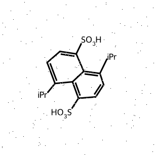 CC(C)c1ccc(S(=O)(=O)O)c2c(C(C)C)ccc(S(=O)(=O)O)c12